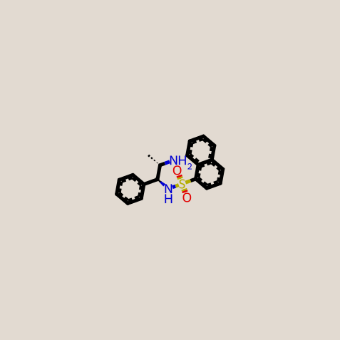 C[C@H](N)[C@@H](NS(=O)(=O)c1cccc2ccccc12)c1ccccc1